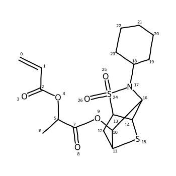 C=CC(=O)OC(C)C(=O)OC1C2CC3C(S2)C1N(C1CCCCC1)S3(=O)=O